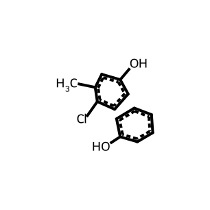 Cc1cc(O)ccc1Cl.Oc1ccccc1